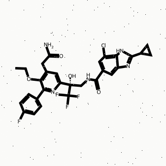 CCOc1c(CC(N)=O)cc([C@@](O)(CNC(=O)c2cc(Cl)c3[nH]c(C4CC4)nc3c2)C(F)(F)F)nc1-c1ccc(F)cc1